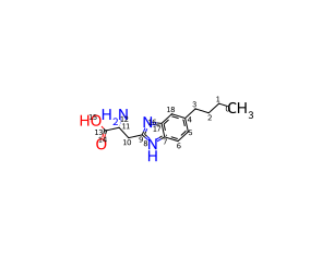 CCCCc1ccc2[nH]c(C[C@@H](N)C(=O)O)nc2c1